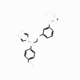 N#Cc1ccc(N(CSc2cccc(OS(N)(=O)=O)c2)n2cnnc2)cc1